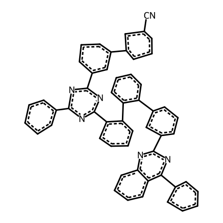 N#Cc1cccc(-c2cccc(-c3nc(-c4ccccc4)nc(-c4ccccc4-c4ccccc4-c4cccc(-c5nc(-c6ccccc6)c6ccccc6n5)c4)n3)c2)c1